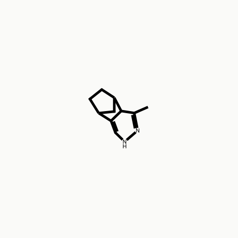 CC1=NNC=C2C3CCC(C3)C21